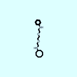 c1ccc(NCCOCCOCCNC2CCCCCCC2)cc1